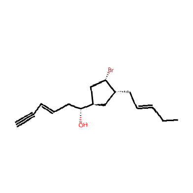 C#C/C=C/C[C@@H](O)[C@@H]1C[C@@H](C/C=C/CC)[C@@H](Br)C1